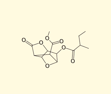 CCC(C)C(=O)OC1C2OC(=O)C3C2OC1C3C(=O)OC